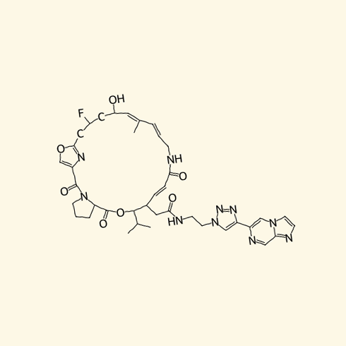 CC1=C\C(O)CC(F)Cc2nc(co2)C(=O)N2CCCC2C(=O)OC(C(C)C)C(CC(=O)NCCn2cc(-c3cn4ccnc4cn3)nn2)/C=C/C(=O)NC\C=C\1